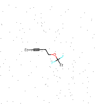 CCC#CCCOC(F)(F)CC